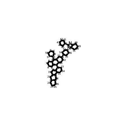 c1ccc(-c2c3ccccc3c(-c3cccc4c3ccc3cc5ccccc5cc34)c3ccc(-c4ccc(-n5c(-c6ccccc6)nc6ccccc65)cc4)cc23)cc1